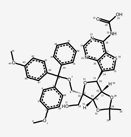 COc1ccc(C(OC[C@]2(CO)O[C@@H](c3csc4c(NC(=O)O)ncnc34)[C@@H]3OC(C)(C)O[C@@H]32)(c2ccccc2)c2ccc(OC)cc2)cc1